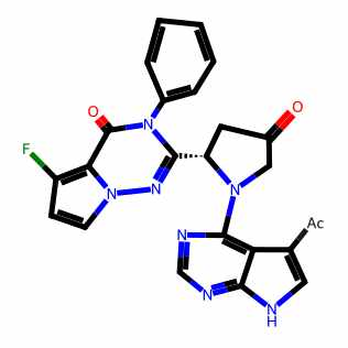 CC(=O)c1c[nH]c2ncnc(N3CC(=O)C[C@H]3c3nn4ccc(F)c4c(=O)n3-c3ccccc3)c12